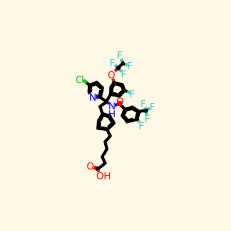 O=C(O)CCCCCc1ccc(CC(NC(=O)c2ccc(F)c(C(F)(F)F)c2)(c2cc(F)cc(OC(F)(F)C(F)F)c2)c2ccc(Cl)cn2)cc1